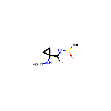 CC[C@H](N[S@@+]([O-])C(C)(C)C)C1(NC(=O)O)CC1